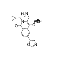 CCCCOc1c(CN)n(CC2CC2)c(=O)c2ccc(-c3cnco3)cc12.Cl